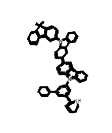 CC1(C)C2=CC=C(N3C4=C(C=CCC4)C4CC(c5ccc6c(c5)c5ccccc5n6-c5cc(C6=CCCC=C6)cc(C6C=CC=CN6)c5)C=CC43)CC2C2=C1CCC=C2